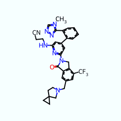 Cn1cnnc1-c1ccccc1-c1cc(NCCC#N)nc(N2Cc3c(cc(CN4CCC5(CC5)C4)cc3C(F)(F)F)C2=O)c1